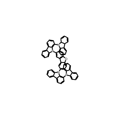 C1=CC2c3ccccc3N(c3cccc4c5ccccc5n(-c5ccc6oc7ccc(-n8c9ccccc9c9cccc(-n%10c%11ccccc%11c%11ccccc%11%10)c98)cc7c6c5)c34)C2C=C1